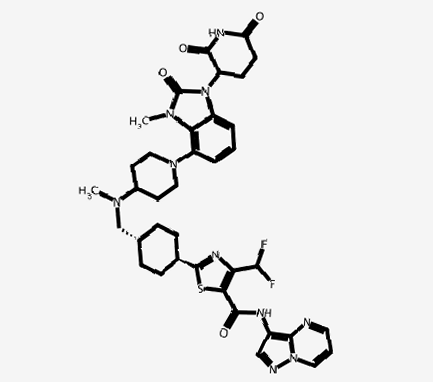 CN(C[C@H]1CC[C@H](c2nc(C(F)F)c(C(=O)Nc3cnn4cccnc34)s2)CC1)C1CCN(c2cccc3c2n(C)c(=O)n3C2CCC(=O)NC2=O)CC1